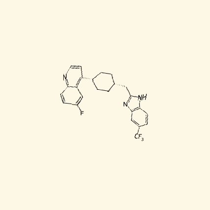 Fc1ccc2nccc([C@H]3CC[C@@H](Cc4nc5cc(C(F)(F)F)ccc5[nH]4)CC3)c2c1